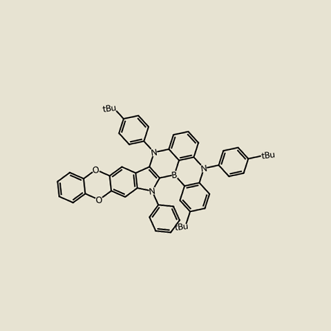 CC(C)(C)c1ccc(N2c3ccc(C(C)(C)C)cc3B3c4c2cccc4N(c2ccc(C(C)(C)C)cc2)c2c3n(-c3ccccc3)c3cc4c(cc23)Oc2ccccc2O4)cc1